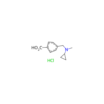 CN(Cc1ccc(C(=O)O)cc1)C1CC1.Cl